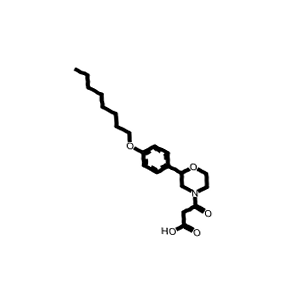 CCCCCCCCOc1ccc(C2CN(C(=O)CC(=O)O)CCO2)cc1